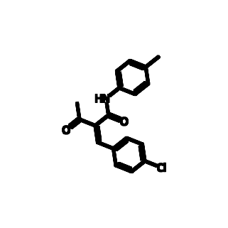 CC(=O)C(=Cc1ccc(Cl)cc1)C(=O)Nc1ccc(C)cc1